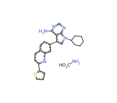 NC(=O)O.Nc1ncnc2c1c(-c1ccc3ccc(-c4cccs4)nc3c1)cn2C1CCCCC1